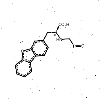 O=PCN[C@@H](Cc1ccc2c(c1)oc1ccccc12)C(=O)O